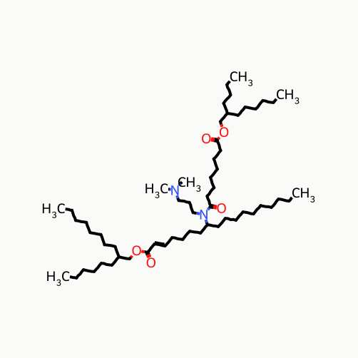 CCCCCCCCCCC(CCCCC=CC(=O)OCC(CCCCCC)CCCCCCCC)N(CCCN(C)C)C(=O)CCCCCCC(=O)OCC(CCCC)CCCCCC